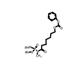 CCC(C)SP(=O)(NC)N(C)C(=O)CCCCCCOC(=O)Oc1ccccc1